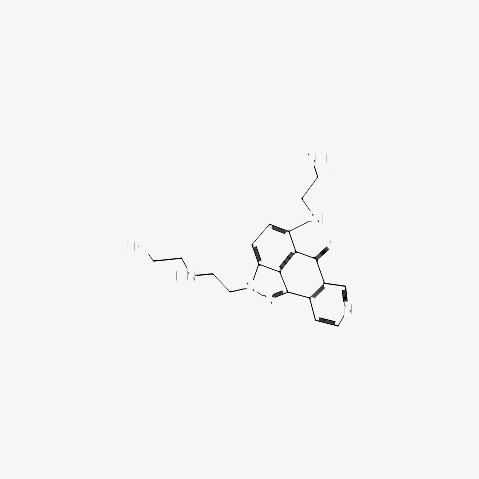 NCCNc1ccc2c3c(nn2CCNCCO)-c2ccncc2C(=O)c13